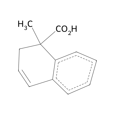 CC1(C(=O)O)CC=Cc2ccccc21